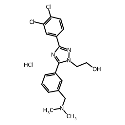 CN(C)Cc1cccc(-c2nc(-c3ccc(Cl)c(Cl)c3)nn2CCO)c1.Cl